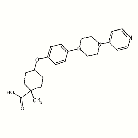 CC1(C(=O)O)CCC(Oc2ccc(N3CCN(c4ccncc4)CC3)cc2)CC1